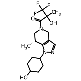 C[C@@H]1CN(C(=O)C(C)(O)C(F)(F)F)Cc2cnn(C3CCC(O)CC3)c21